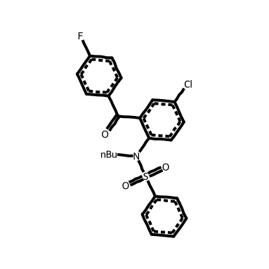 CCCCN(c1ccc(Cl)cc1C(=O)c1ccc(F)cc1)S(=O)(=O)c1ccccc1